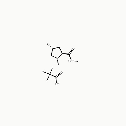 CNC(=O)[C@@H]1C[C@@H](F)CN1C.O=C(O)C(F)(F)F